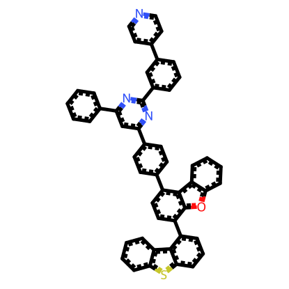 c1ccc(-c2cc(-c3ccc(-c4ccc(-c5cccc6sc7ccccc7c56)c5oc6ccccc6c45)cc3)nc(-c3cccc(-c4ccncc4)c3)n2)cc1